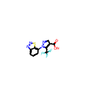 O=C(O)c1cnn(-c2cccc3nnsc23)c1C(F)(F)F